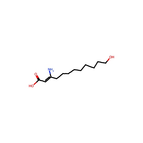 NC(=CC(=O)O)CCCCCCCCCO